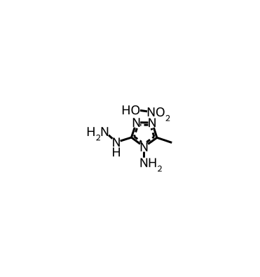 Cc1nnc(NN)n1N.O=[N+]([O-])O